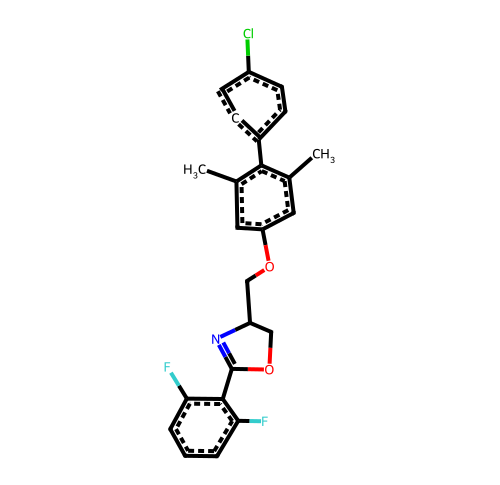 Cc1cc(OCC2COC(c3c(F)cccc3F)=N2)cc(C)c1-c1ccc(Cl)cc1